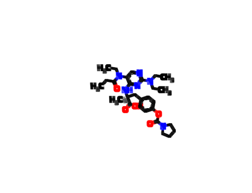 CCC(=O)N(CC)c1cnc(N(CC)CC)nc1N[C@@](C)(Cc1ccc(OC(=O)N2CCCC2)cc1)C(=O)O